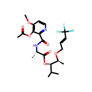 COc1ccnc(C(=O)N[C@@H](C)C(=O)O[C@H](C(C)C)[C@H](C)OC/C=C/C(F)(F)F)c1OC(C)=O